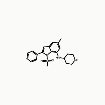 Cc1cc(NC2CCNCC2)c2c(c1)cc(-c1ccccc1)n2S(C)(=O)=O